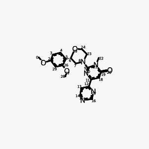 COc1ccc([C@H]2CN(c3nc(-c4ccncn4)cc(=O)n3C)CCO2)c(OC)c1